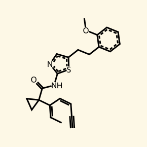 C#C/C=C\C(=C/C)C1(C(=O)Nc2ncc(CCc3ccccc3OC)s2)CC1